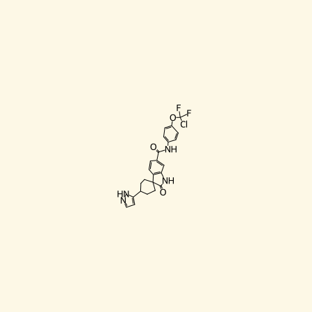 O=C(Nc1ccc(OC(F)(F)Cl)cc1)c1ccc2c(c1)NC(=O)C21CCC(c2ccn[nH]2)CC1